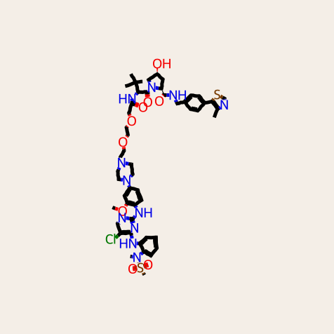 COc1cc(N2CCN(CCOCCOCC(=O)NC(C(=O)N3C[C@H](O)C[C@@H]3C(=O)NCc3ccc(-c4scnc4C)cc3)C(C)(C)C)CC2)ccc1Nc1ncc(Cl)c(Nc2ccccc2N(C)S(C)(=O)=O)n1